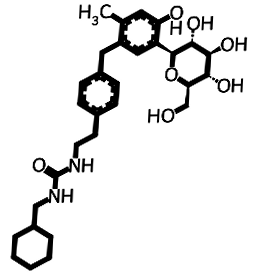 Cc1cc(O)c([C@@H]2O[C@H](CO)[C@@H](O)[C@H](O)[C@H]2O)cc1Cc1ccc(CCNC(=O)NCC2CCCCC2)cc1